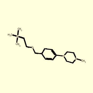 CN1CCN(C2=CCC(COCC[Si](C)(C)C)C=C2)CC1